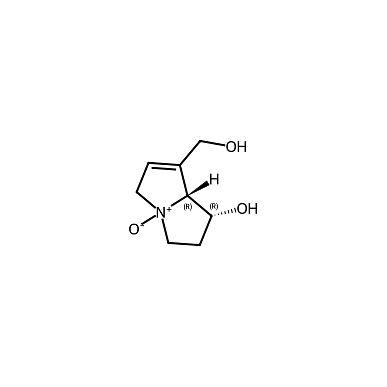 [O-][N+]12CC=C(CO)[C@@H]1[C@H](O)CC2